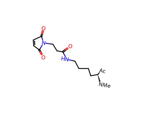 CN[C@@H](CCCCNC(=O)CCN1C(=O)C=CC1=O)C(C)=O